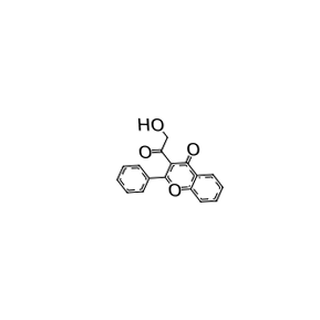 O=C(CO)c1c(-c2ccccc2)oc2ccccc2c1=O